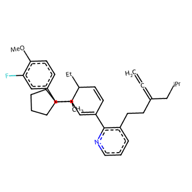 C=C=C(CCc1cccnc1C(/C=C\C(CC)C(C)C1CCCC1)=C/CCc1ccc(OC)c(F)c1)CC(C)C